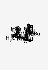 CC[C@@]1(O)C(=O)OCc2c1cc1n(c2=O)Cc2c-1nc1cc(F)c(C)c3c1c2[C@@H](NC(=O)CCCNC(=O)CNC(=O)[C@H](Cc1ccccc1)NC(=O)CNC(=O)CNC(=O)[C@H](CC(=O)OC(C)(C)C)NC(=O)C(CC(=O)OC(C)(C)C)NC(=O)OCC1c2ccccc2-c2ccccc21)CC3